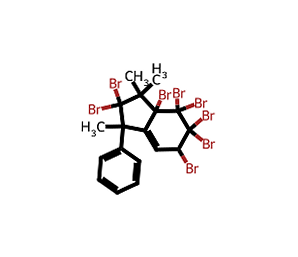 CC1(c2ccccc2)C2=CC(Br)C(Br)(Br)C(Br)(Br)C2(Br)C(C)(C)C1(Br)Br